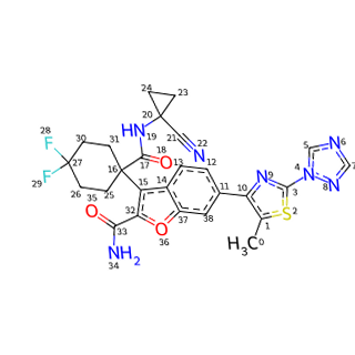 Cc1sc(-n2cncn2)nc1-c1ccc2c(C3(C(=O)NC4(C#N)CC4)CCC(F)(F)CC3)c(C(N)=O)oc2c1